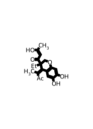 CCC1(C(=O)/C=C(/C)O)COc2cc(O)c(O)cc2/C1=C(/C)C(C)=O